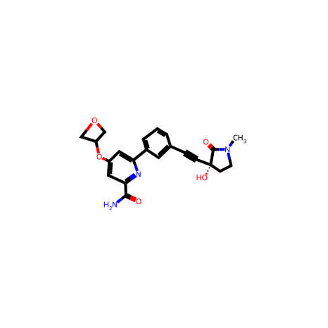 CN1CC[C@@](O)(C#Cc2cccc(-c3cc(OC4COC4)cc(C(N)=O)n3)c2)C1=O